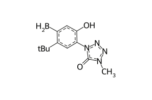 Bc1cc(O)c(-n2nnn(C)c2=O)cc1C(C)(C)C